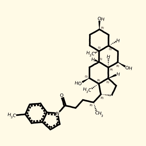 Cc1ccc2c(ccn2C(=O)CC[C@@H](C)[C@H]2CC[C@H]3[C@@H]4[C@H](O)C[C@@H]5C[C@H](O)CC[C@]5(C)[C@H]4C[C@H](O)[C@]23C)c1